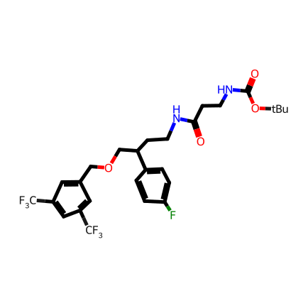 CC(C)(C)OC(=O)NCCC(=O)NCCC(COCc1cc(C(F)(F)F)cc(C(F)(F)F)c1)c1ccc(F)cc1